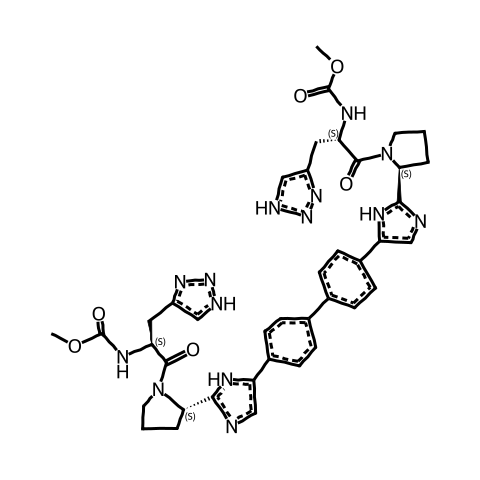 COC(=O)N[C@@H](Cc1c[nH]nn1)C(=O)N1CCC[C@H]1c1ncc(-c2ccc(-c3ccc(-c4cnc([C@@H]5CCCN5C(=O)[C@H](Cc5c[nH]nn5)NC(=O)OC)[nH]4)cc3)cc2)[nH]1